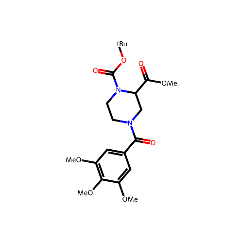 COC(=O)C1CN(C(=O)c2cc(OC)c(OC)c(OC)c2)CCN1C(=O)OC(C)(C)C